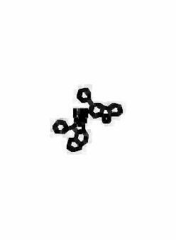 c1ccc(-c2cc3c(cc2N[N@]2C4c5ccc6ccccc6c5C(c5ccccc5)N42)oc2ccccc23)cc1